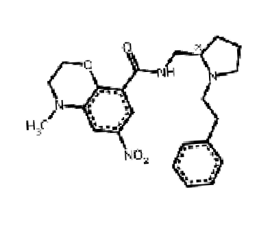 CN1CCOc2c(C(=O)NC[C@H]3CCCN3CCc3ccccc3)cc([N+](=O)[O-])cc21